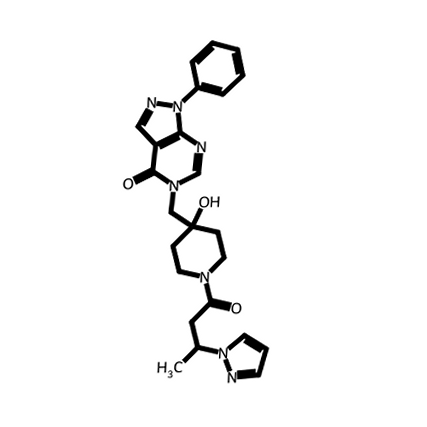 CC(CC(=O)N1CCC(O)(Cn2cnc3c(cnn3-c3ccccc3)c2=O)CC1)n1cccn1